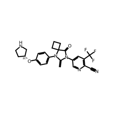 C=C1N(c2cnc(C#N)c(C(F)(F)F)c2)C(=O)C2(CCC2)N1c1ccc(O[C@@H]2CCNC2)cc1